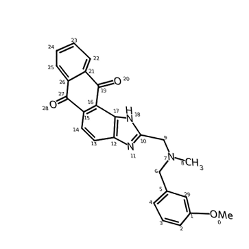 COc1cccc(CN(C)Cc2nc3ccc4c(c3[nH]2)C(=O)c2ccccc2C4=O)c1